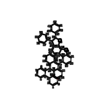 c1ccc(-c2ccccc2-c2c3ccccc3c(-c3cccc4oc5c6c(ccc5c34)C(c3ccccc3)C(c3ccccc3)O6)c3ccccc23)cc1